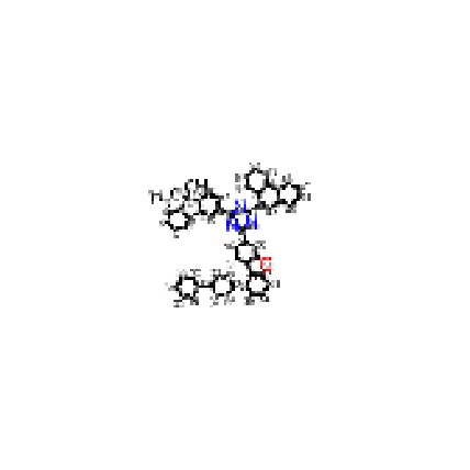 CC1(C)c2ccccc2-c2cc(-c3nc(-c4ccc5c(c4)oc4cccc(-c6ccc(-c7ccccc7)cc6)c45)nc(-c4cc5ccccc5c5ccccc45)n3)ccc21